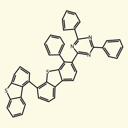 c1ccc(-c2nc(-c3ccccc3)nc(-c3ccc4c(sc5c(-c6cccc7sc8ccccc8c67)cccc54)c3-c3ccccc3)n2)cc1